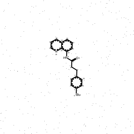 CC(C)(C)c1ccc(CCC(=O)Nc2cccc3cccnc23)cc1